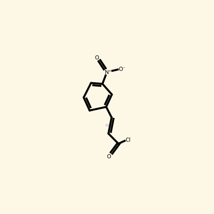 O=C(Cl)/C=C/c1cccc([N+](=O)[O-])c1